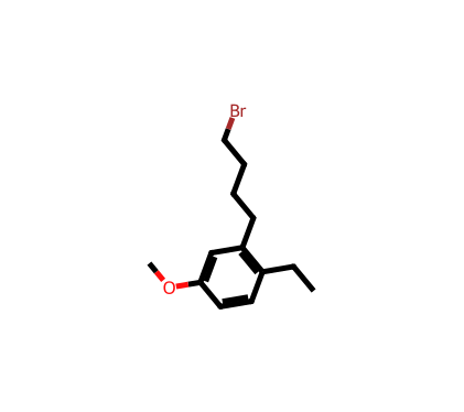 CCc1ccc(OC)cc1CCCCBr